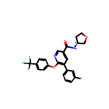 O=C(N[C@H]1CCOC1)c1cnc(Oc2ccc(C(F)(F)F)cc2)c(-c2cccc(F)c2)c1